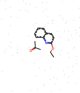 CC(C)=O.CCOc1ccc2ccccc2n1